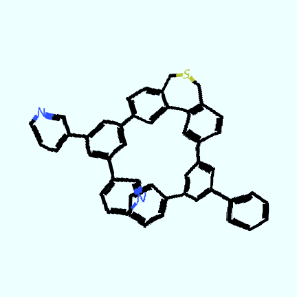 c1ccc(-c2cc(-c3ccccc3)cc(-c3ccc4c(c3)-c3cc(-c5cc(-c6cccnc6)cc(-c6cccnc6)c5)ccc3CSC4)c2)cc1